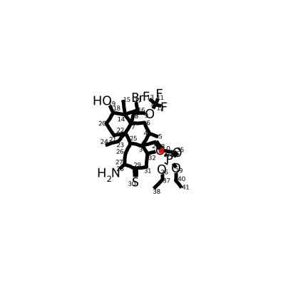 C/C=C/C12C(C)CC3(COC(F)(F)F)C(C)(CBr)C(O)CCC3(CC)C1CC(N)C(=S)CC2OP(=O)(OCC)OCC